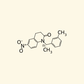 Cc1cccc([C@H](C)N2C(=O)CCc3cc([N+](=O)[O-])ccc32)c1